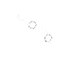 CCCOCC[n+]1ccc(CCCc2cc[n+](C)cc2)cc1